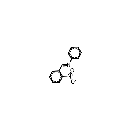 O=[N+]([O-])c1ccccc1C=Nc1ccccc1